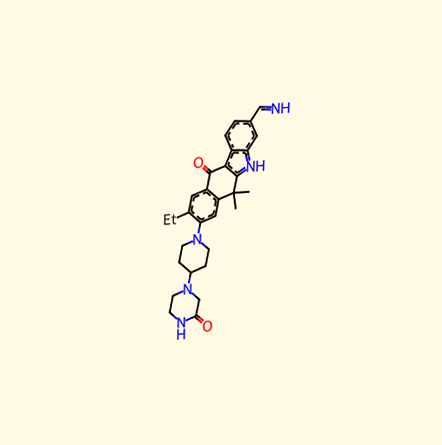 CCc1cc2c(cc1N1CCC(N3CCNC(=O)C3)CC1)C(C)(C)c1[nH]c3cc(C=N)ccc3c1C2=O